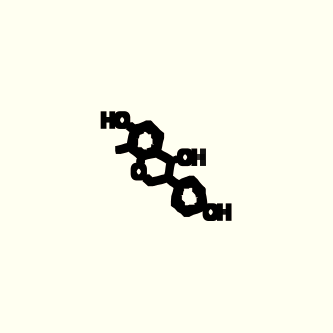 Cc1c(O)ccc2c1OCC(c1ccc(O)cc1)[C@@H]2O